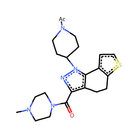 CC(=O)N1CCC(n2nc(C(=O)N3CCN(C)CC3)c3c2-c2ccsc2CC3)CC1